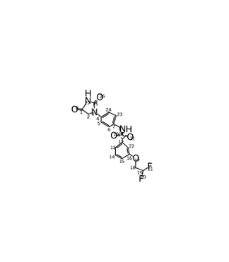 O=C1CN(c2ccc(NS(=O)(=O)c3cccc(OCC(F)F)c3)cc2)C(=O)N1